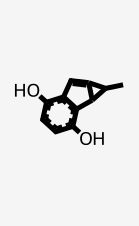 CC1C2=Cc3c(O)ccc(O)c3C21